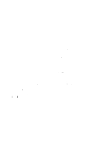 CCCCC(C)(CCCCCC(C)(C)N)B1OC(C)(C)C(C)(C)O1